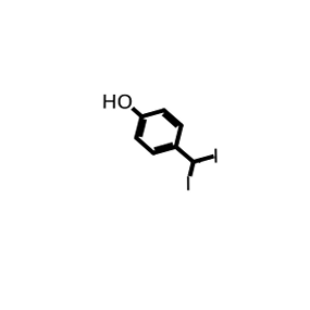 Oc1ccc([C](I)I)cc1